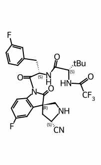 CC(C)(C)[C@H](NC(=O)C(F)(F)F)C(=O)N[C@@H](Cc1cccc(F)c1)C(=O)N1C(=O)[C@@]2(CN[C@H](C#N)C2)c2cc(F)ccc21